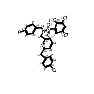 O=S(=O)(c1cc(Cl)cc(Cl)c1O)N(Cc1ccc(F)cc1)Cc1cccc(Cc2ccc(Cl)cc2)n1